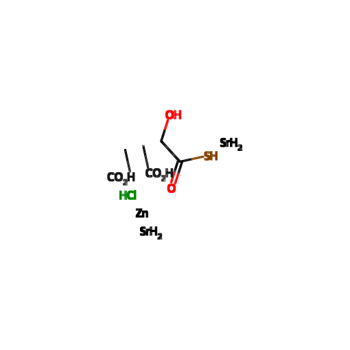 CC(=O)O.CC(=O)O.Cl.O=C(S)CO.[SrH2].[SrH2].[Zn]